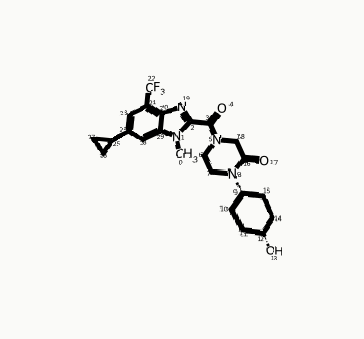 Cn1c(C(=O)N2CCN([C@H]3CC[C@@H](O)CC3)C(=O)C2)nc2c(C(F)(F)F)cc(C3CC3)cc21